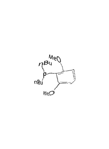 CCCCP(CCCC)c1c(OC)cccc1OC